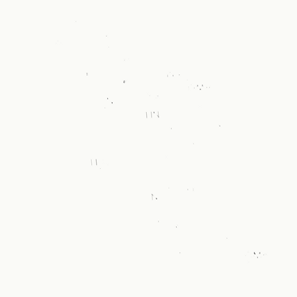 C=CCN(Cc1ccc(OC)cc1)C(=O)CC[C@H](NC(=O)[C@H](N)Cc1ccccc1)C(=O)OC